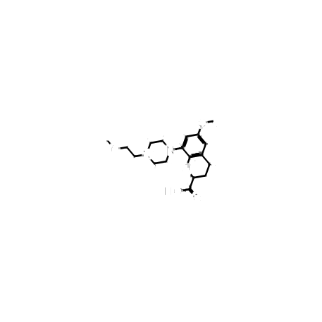 COCCN1CCN(c2cc(OC)cc3c2OC(C(=O)O)CC3)CC1